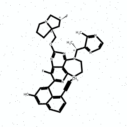 CC#Cc1cccc2cc(O)cc(-c3nc4c5c(nc(OC[C@@]67CCCN6C[C@H](F)C7)nc5c3F)N([C@H](C)c3nccnc3C)CCO4)c12